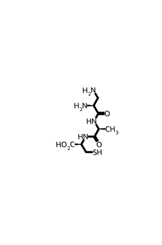 C[C@H](NC(=O)[C@@H](N)CN)C(=O)N[C@@H](CS)C(=O)O